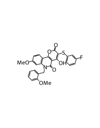 COc1ccc2c3oc(=O)c(Sc4cccc(F)c4)c(O)c3c(=O)n(Cc3ccccc3OC)c2c1